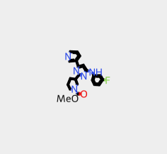 COC(=O)N1CCCC(c2nc(Nc3cccc(F)c3)cc(-c3cccnc3)n2)C1